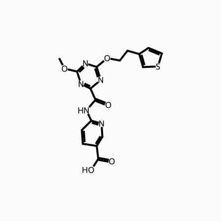 COc1nc(OCCc2ccsc2)nc(C(=O)Nc2ccc(C(=O)O)cn2)n1